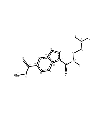 CN(C)CCN(C)C(=O)n1ccc2cc(C(=O)OC(C)(C)C)ccc21